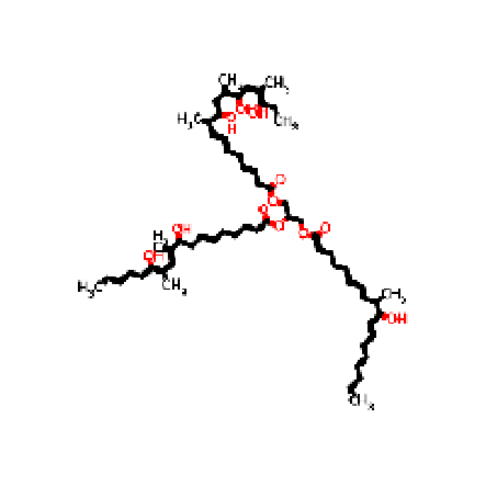 CCCCCCCCC(O)C(C)CCCCCCCC(=O)OCC(COC(=O)CCCCCCCC(C)C(O)CC(C)C(O)CC(C)C(O)CC)OC(=O)CCCCCCCC(O)C(C)CC(C)C(O)CCCCC